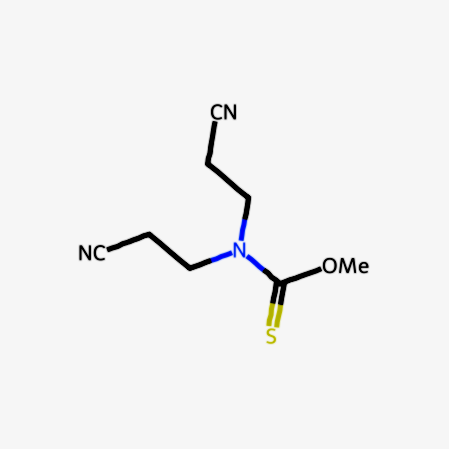 COC(=S)N(CCC#N)CCC#N